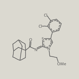 COCCn1cc(-c2cccc(Cl)c2Cl)sc1=NC(=O)C12CC3CC(CC(C3)C1)C2